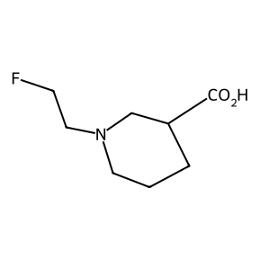 O=C(O)C1CCCN(CCF)C1